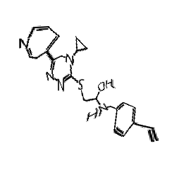 C=Cc1ccc(NC(O)CSc2nnc(-c3cccnc3)n2C2CC2)cc1